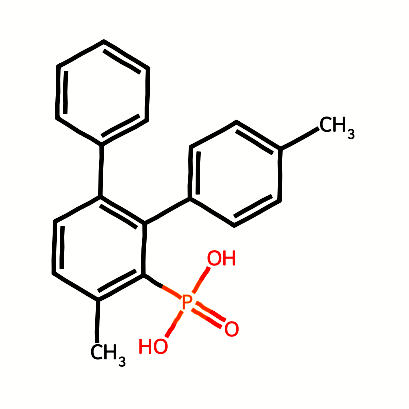 Cc1ccc(-c2c(-c3ccccc3)ccc(C)c2P(=O)(O)O)cc1